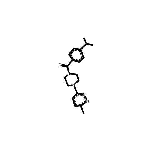 Cc1ccc(N2CCN(C(=O)c3ccc(C(C)C)cc3)CC2)nn1